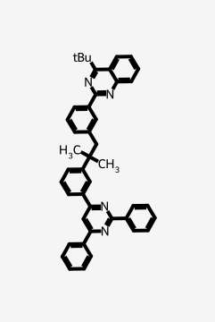 CC(C)(C)c1nc(-c2cccc(CC(C)(C)c3cccc(-c4cc(-c5ccccc5)nc(-c5ccccc5)n4)c3)c2)nc2ccccc12